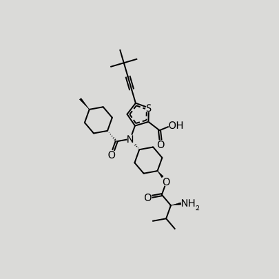 CC(C)[C@H](N)C(=O)O[C@H]1CC[C@H](N(c2cc(C#CC(C)(C)C)sc2C(=O)O)C(=O)[C@H]2CC[C@H](C)CC2)CC1